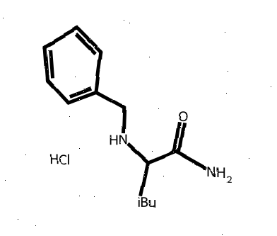 CCC(C)C(NCc1ccccc1)C(N)=O.Cl